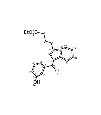 CCOC(=O)CCCn1cc(C(=O)c2cccc(O)c2)c2ccccc21